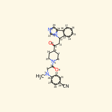 CN(CC(=O)N1CCC(C(=O)CC2c3ccccc3-c3cncn32)CC1)c1ccc(C#N)cc1